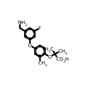 Cc1cc(Oc2cc(F)cc(CN)c2)ccc1OC(C)(C)C(=O)O